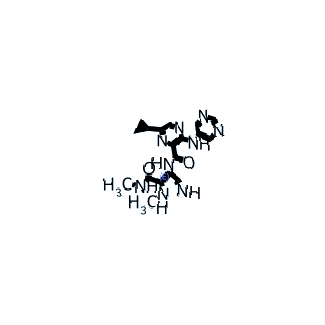 CNC(=O)/C(NC)=C(/C=N)NC(=O)c1nc(C2CC2)cnc1Nc1cncnc1